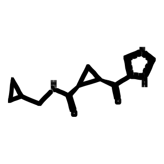 O=C(NCC1CC1)[C@H]1C[C@H]1C(=O)c1cnc[nH]1